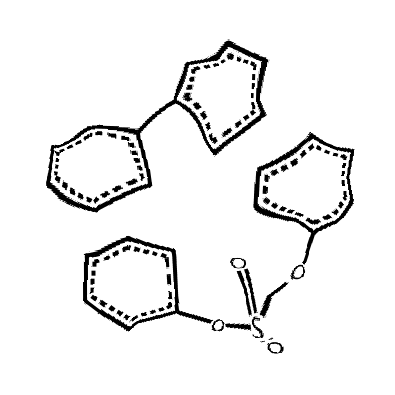 O=S(=O)(Oc1ccccc1)Oc1ccccc1.c1ccc(-c2ccccc2)cc1